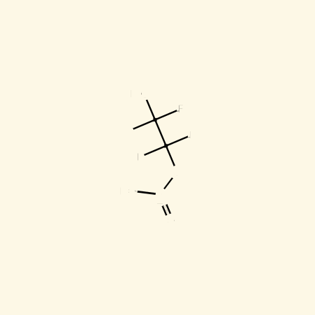 O=[PH](O)OC(F)(F)C(F)(F)C(F)(F)F